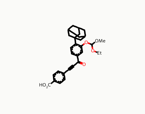 CCOC(OC)Oc1cc(C(=O)C#Cc2ccc(C(=O)O)cc2)ccc1C12CC3CC(CC(C3)C1)C2